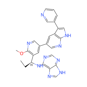 CC[C@H](Nc1ncnc2[nH]cnc12)c1cc(-c2cnc3[nH]cc(-c4cccnc4)c3c2)cnc1OC